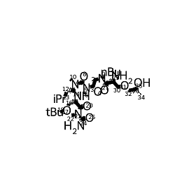 CCCCN(CC(=O)N(C)C(=O)N(C)[C@@H](CC(C)C)N[C@@H](COC(C)(C)C)C(=O)N(C)C(N)=O)C(=O)[C@@H](N)COC[C@@H](C)O